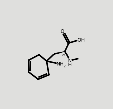 CN[C@@H](CC1(N)C=CC=CC1)C(=O)O